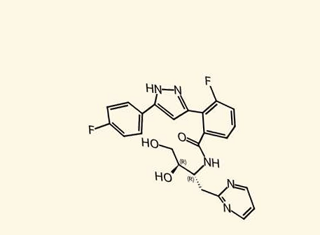 O=C(N[C@H](Cc1ncccn1)[C@@H](O)CO)c1cccc(F)c1-c1cc(-c2ccc(F)cc2)[nH]n1